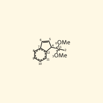 CO[Si](C)(OC)C1C=Cc2ccccc21